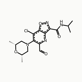 CC(C)NC(=O)c1noc2c(Cl)c(N3C[C@@H](C)O[C@@H](C)C3)c(C=O)nc12